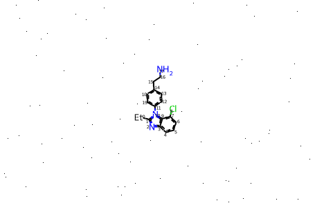 CCc1nc2cccc(Cl)c2n1-c1ccc(CCN)cc1